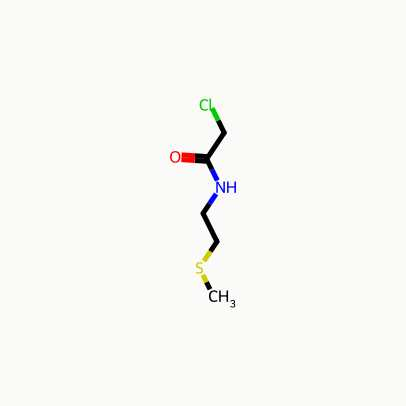 CSCCNC(=O)CCl